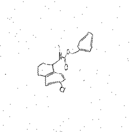 CN(C(=O)OCc1ccccc1)C1CCCc2cc(Cl)ccc21